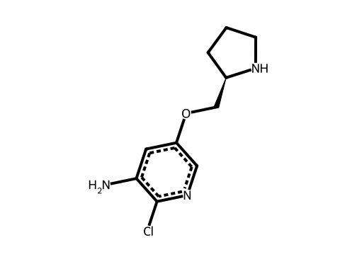 Nc1cc(OC[C@H]2CCCN2)cnc1Cl